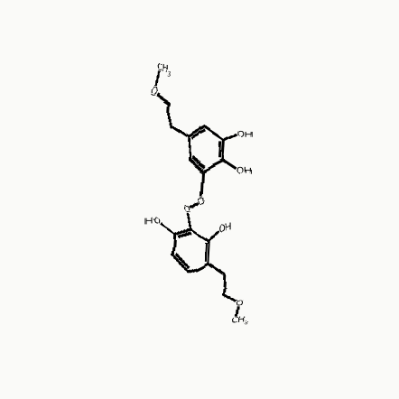 COCCc1cc(O)c(O)c(OOc2c(O)ccc(CCOC)c2O)c1